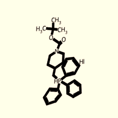 CC(C)(C)OC(=O)N1CCC(C[PH](c2ccccc2)(c2ccccc2)c2ccccc2)CC1.I